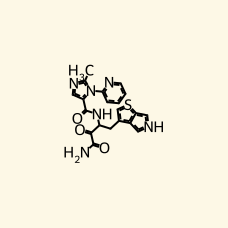 Cc1ncc(C(=O)NC(Cc2csc3c[nH]cc23)C(=O)C(N)=O)n1-c1ccccn1